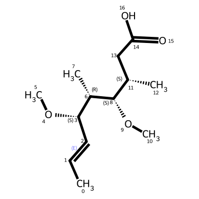 C/C=C/[C@H](OC)[C@H](C)[C@@H](OC)[C@@H](C)CC(=O)O